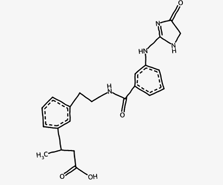 CC(CC(=O)O)c1cccc(CCNC(=O)c2cccc(NC3=NC(=O)CN3)c2)c1